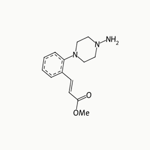 COC(=O)/C=C/c1ccccc1N1CCN(N)CC1